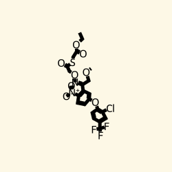 CCOC(=O)CSC(=O)CON=C(COC)c1cc(Oc2ccc(C(F)(F)F)cc2Cl)ccc1[N+](=O)[O-]